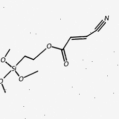 CO[Si](CCOC(=O)C=CC#N)(OC)OC